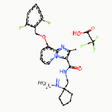 Cc1nc2c(OCc3c(F)cccc3F)cccn2c1C(=O)NCC1(NC(=O)O)CCCC1.O=C(O)C(F)(F)F